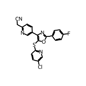 N#CCc1ccc(-c2nc(-c3ccc(F)cc3)oc2Sc2ccc(Cl)cn2)cn1